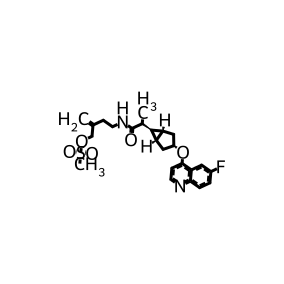 C=C(CCNC(=O)C(C)[C@H]1[C@@H]2C[C@@H](Oc3ccnc4ccc(F)cc34)C[C@@H]21)COS(C)(=O)=O